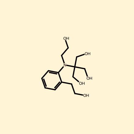 OCCc1ccccc1N(CCO)C(CO)(CO)CO